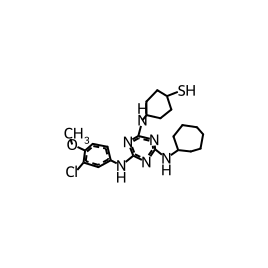 COc1ccc(Nc2nc(NC3CCCCCC3)nc(NC3CCC(S)CC3)n2)cc1Cl